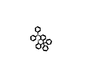 c1ccc(N(c2ccccc2)c2cccc3c2Sc2ccccc2C3(c2ccccc2)c2ccccc2)cc1